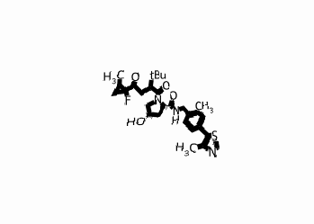 Cc1cc(-c2scnc2C)ccc1CNC(=O)[C@@H]1C[C@@H](O)CN1C(=O)C(CC(=O)C1(F)CC1C)C(C)(C)C